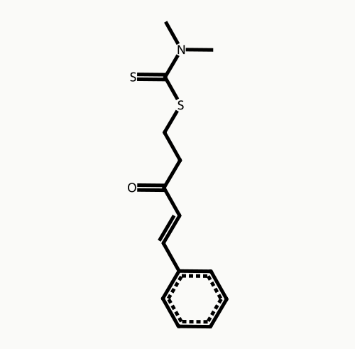 CN(C)C(=S)SCCC(=O)/C=C/c1ccccc1